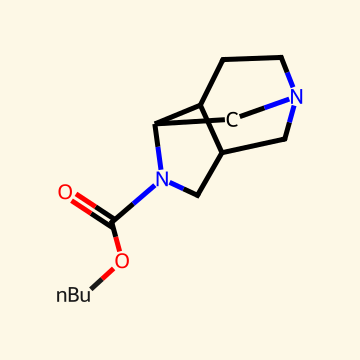 CCCCOC(=O)N1CC2CN3CCC2C1C3